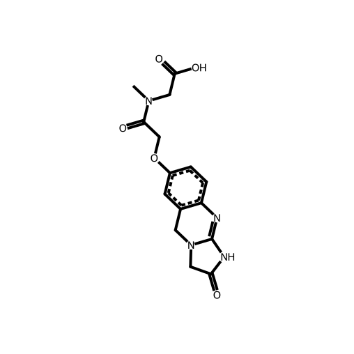 CN(CC(=O)O)C(=O)COc1ccc2c(c1)CN1CC(=O)NC1=N2